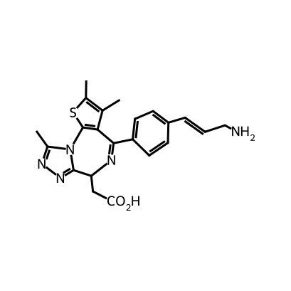 Cc1sc2c(c1C)C(c1ccc(C=CCN)cc1)=NC(CC(=O)O)c1nnc(C)n1-2